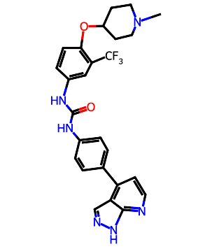 CN1CCC(Oc2ccc(NC(=O)Nc3ccc(-c4ccnc5[nH]ncc45)cc3)cc2C(F)(F)F)CC1